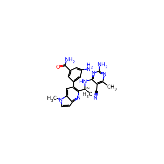 Cc1nc(N)nc(N[C@@H](C)c2nc3ccn(C)c3cc2-c2cc(N)cc(C(N)=O)c2)c1C#N